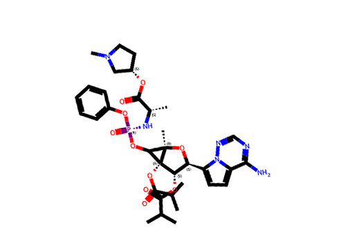 CC(C)C(=O)O[C@H]1[C@H](c2ccc3c(N)ncnn23)O[C@]2(C)C(O[P@](=O)(N[C@@H](C)C(=O)O[C@H]3CCN(C)C3)Oc3ccccc3)[C@]12OC(=O)C(C)C